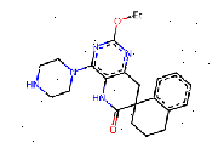 CCOc1nc2c(c(N3CCNCC3)n1)NC(=O)C1(CCCc3ccccc31)C2